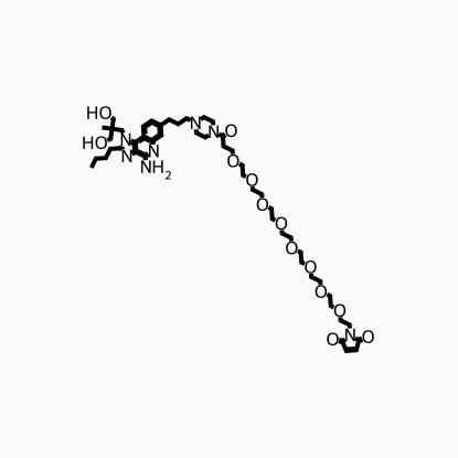 CCCCc1nc2c(N)nc3cc(CCCN4CCN(C(=O)CCOCCOCCOCCOCCOCCOCCOCCOCCN5C(=O)C=CC5=O)CC4)ccc3c2n1CC(C)(CO)CO